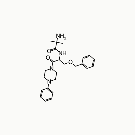 CC(C)(N)C(=O)NC(COCc1ccccc1)C(=O)N1CCN(c2ccccc2)CC1